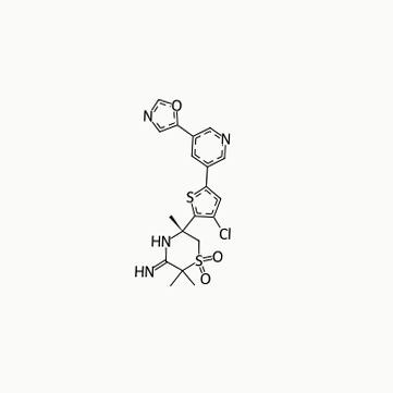 CC1(C)C(=N)N[C@](C)(c2sc(-c3cncc(-c4cnco4)c3)cc2Cl)CS1(=O)=O